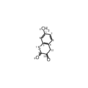 Cc1ccc2c(c1)SC(=O)C(=O)C2